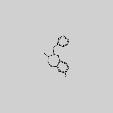 CC1COc2nc(Cl)ccc2CN1Cc1ccccc1